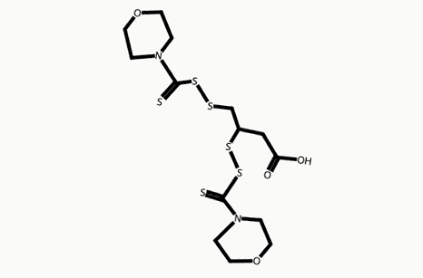 O=C(O)CC(CSSC(=S)N1CCOCC1)SSC(=S)N1CCOCC1